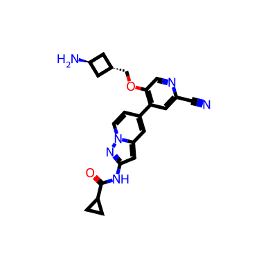 N#Cc1cc(-c2ccn3nc(NC(=O)C4CC4)cc3c2)c(OC[C@H]2C[C@H](N)C2)cn1